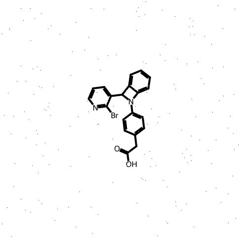 O=C(O)Cc1ccc(N2c3ccccc3C2c2cccnc2Br)cc1